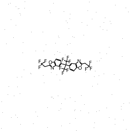 FC(F)(F)Cc1nc2cc(C(c3ccc4oc(CC(F)(F)F)nc4c3)(C(F)(F)F)C(F)(F)F)ccc2o1